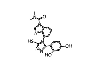 CN(C)C(=O)n1cnc2c(-n3c(S)nnc3-c3ccc(O)cc3O)cccc21